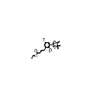 C=C1OB(c2cc(F)cc(CCCC(=O)OCC)c2OC)OC1(C)C